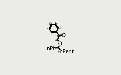 CCCCCC(CCC)OCC(=O)c1ccccc1